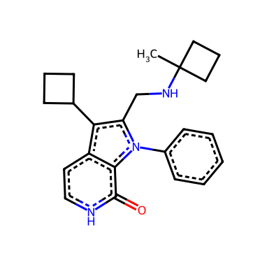 CC1(NCc2c(C3CCC3)c3cc[nH]c(=O)c3n2-c2ccccc2)CCC1